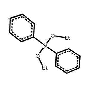 CCO[Si](OCC)(c1cc[c]cc1)c1ccccc1